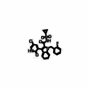 O=C(NS(=O)(=O)C1CC1)c1c(-c2cc(Cl)c[nH]c2=O)c2ccccc2n1Cc1ccccc1F